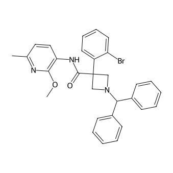 COc1nc(C)ccc1NC(=O)C1(c2ccccc2Br)CN(C(c2ccccc2)c2ccccc2)C1